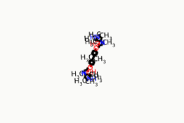 CN(CC(O)COc1ccc(C(C)(C)c2ccc(OCC(O)CN(C)C3CC(C)(C)NC(C)(C)C3)cc2)cc1)C1CC(C)(C)NC(C)(C)C1